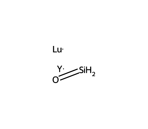 O=[SiH2].[Lu].[Y]